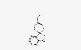 CCN1CCC2(CC1)COc1cccnc12